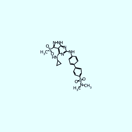 CN(C)S(=O)(=O)c1ccc(-c2ccc(Nc3nc(NC4CC4)c4c(S(C)(=O)=O)n[nH]c4n3)cc2)cc1